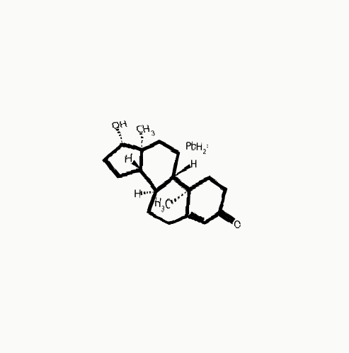 C[C@]12CC[C@H]3[C@@H](CCC4=CC(=O)CC[C@@]43C)[C@@H]1CC[C@@H]2O.[PbH2]